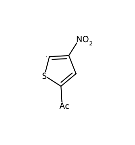 CC(=O)c1cc([N+](=O)[O-])[c]s1